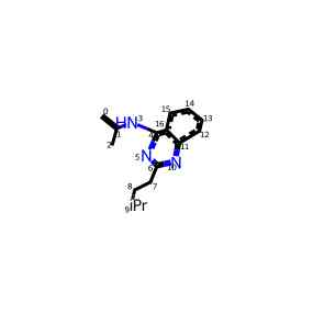 C=C(C)Nc1nc(CCC(C)C)nc2ccccc12